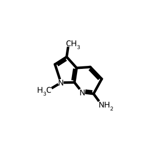 Cc1cn(C)c2nc(N)ccc12